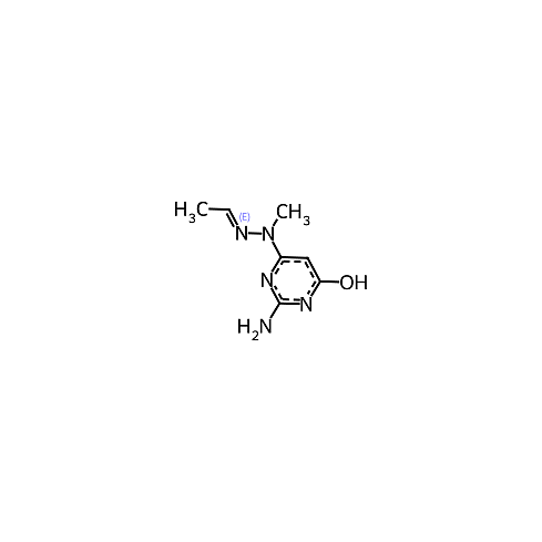 C/C=N/N(C)c1cc(O)nc(N)n1